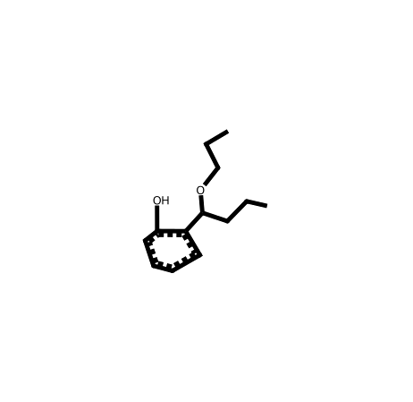 CCCOC(CCC)c1ccccc1O